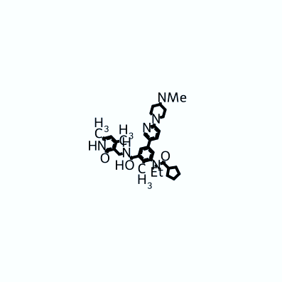 CCN(C(=O)C1CCCC1)c1cc(-c2ccc(N3CCC(NC)CC3)nc2)cc(C(O)NCc2c(C)cc(C)[nH]c2=O)c1C